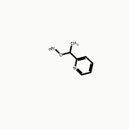 CCCOC(C)c1ccccn1